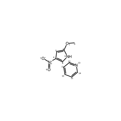 COc1cc([N+](=O)[O-])c[nH]1.c1ccncc1